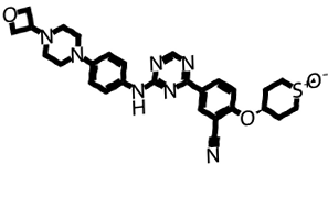 N#Cc1cc(-c2ncnc(Nc3ccc(N4CCN(C5COC5)CC4)cc3)n2)ccc1O[C@H]1CC[S@+]([O-])CC1